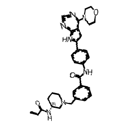 C=CC(=O)N[C@@H]1CCCN(Cc2cccc(C(=O)Nc3ccc(-c4cc5c(N6CCOCC6)ncnc5[nH]4)cc3)c2)C1